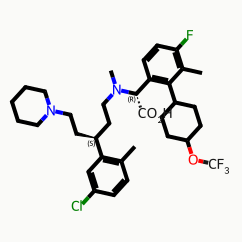 Cc1ccc(Cl)cc1[C@@H](CCN1CCCCC1)CCN(C)[C@@H](C(=O)O)c1ccc(F)c(C)c1C1CCC(OC(F)(F)F)CC1